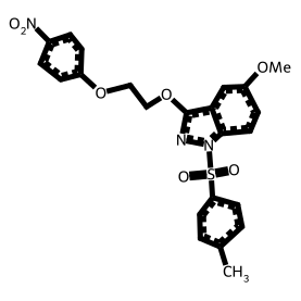 COc1ccc2c(c1)c(OCCOc1ccc([N+](=O)[O-])cc1)nn2S(=O)(=O)c1ccc(C)cc1